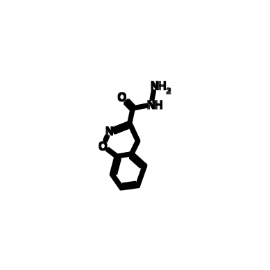 NNC(=O)C1=NOc2ccccc2C1